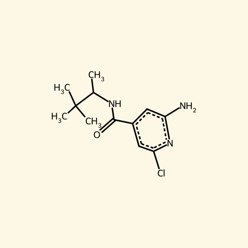 CC(NC(=O)c1cc(N)nc(Cl)c1)C(C)(C)C